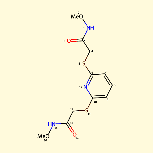 CONC(=O)CSc1cccc(SCC(=O)NOC)n1